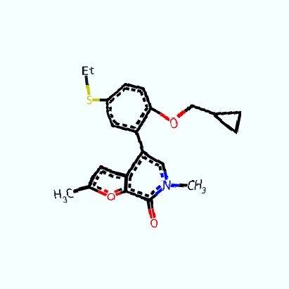 CCSc1ccc(OCC2CC2)c(-c2cn(C)c(=O)c3oc(C)cc23)c1